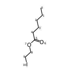 CCCCCC(=O)OCCI